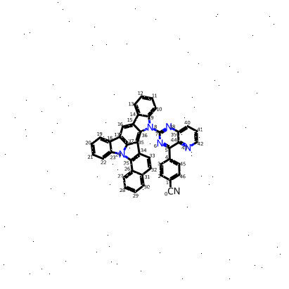 N#Cc1ccc(-c2nc(-n3c4ccccc4c4cc5c6ccccc6n6c7c8ccccc8ccc7c(c43)c56)nc3cccnc23)cc1